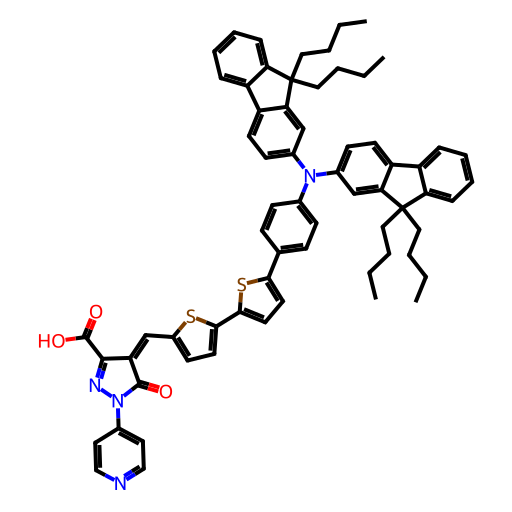 CCCCC1(CCCC)c2ccccc2-c2ccc(N(c3ccc(-c4ccc(-c5ccc(/C=C6\C(=O)N(c7ccncc7)N=C6C(=O)O)s5)s4)cc3)c3ccc4c(c3)C(CCCC)(CCCC)c3ccccc3-4)cc21